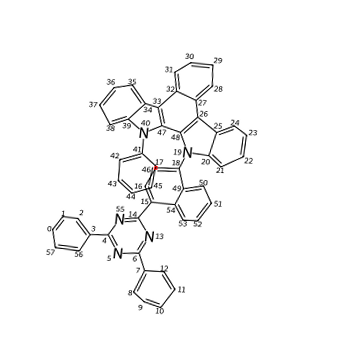 c1ccc(-c2nc(-c3ccccc3)nc(-c3ccc(-n4c5ccccc5c5c6ccccc6c6c7ccccc7n(-c7ccccc7)c6c54)c4ccccc34)n2)cc1